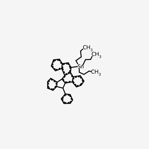 CCC[CH2][Sn]([CH2]CCC)([CH2]CCC)[c]1cc2ccccc2c2c3c(c4ccccc4c12)C(c1ccccc1)c1ccccc1-3